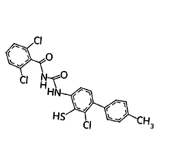 Cc1ccc(-c2ccc(NC(=O)NC(=O)c3c(Cl)cccc3Cl)c(S)c2Cl)cc1